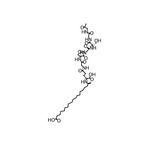 C=C(CCCCCCCCCCCCCCCCC(=O)O)N[C@@H](CCC(=O)NCC(=O)N[C@@H](CO)C(=O)NCC(=O)N[C@@H](CO)C(=O)NCC(=O)NCC(C)=O)C(=O)O